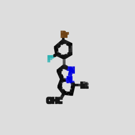 CCc1cc(C=O)cc2cc(-c3ccc(Br)cc3F)nn12